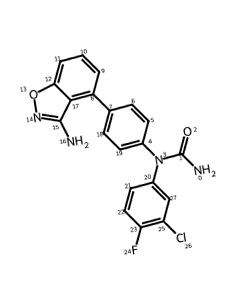 NC(=O)N(c1ccc(-c2cccc3onc(N)c23)cc1)c1ccc(F)c(Cl)c1